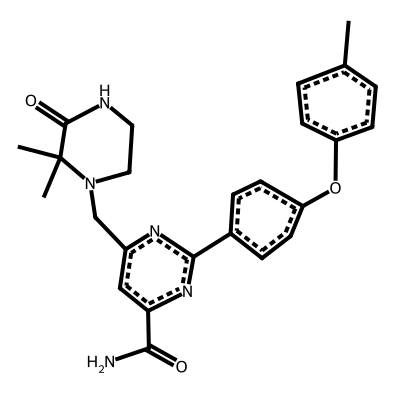 Cc1ccc(Oc2ccc(-c3nc(CN4CCNC(=O)C4(C)C)cc(C(N)=O)n3)cc2)cc1